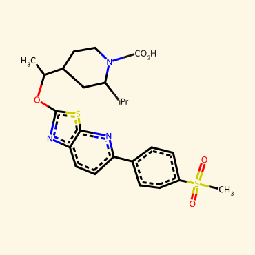 CC(C)C1CC(C(C)Oc2nc3ccc(-c4ccc(S(C)(=O)=O)cc4)nc3s2)CCN1C(=O)O